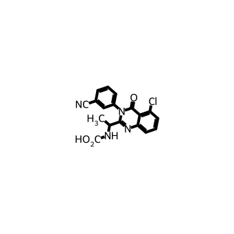 CC(NC(=O)O)c1nc2cccc(Cl)c2c(=O)n1-c1cccc(C#N)c1